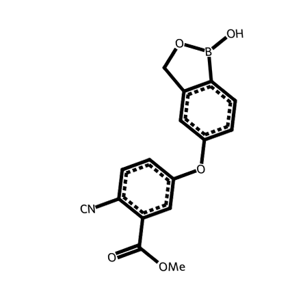 [C-]#[N+]c1ccc(Oc2ccc3c(c2)COB3O)cc1C(=O)OC